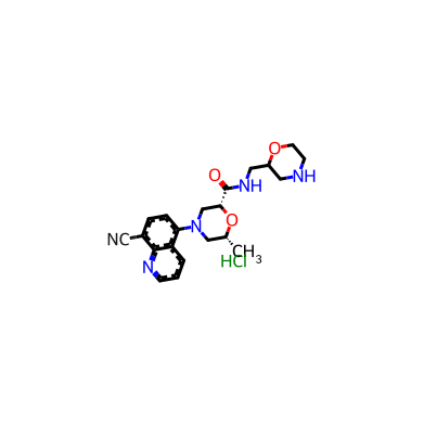 C[C@@H]1CN(c2ccc(C#N)c3ncccc23)C[C@H](C(=O)NCC2CNCCO2)O1.Cl